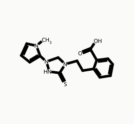 Cn1cccc1N1CN(CCc2ccccc2C(=O)O)C(=S)N1